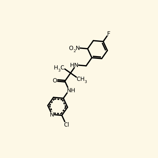 CC(C)(NCC1=CC=C(F)CC1[N+](=O)[O-])C(=O)Nc1ccnc(Cl)c1